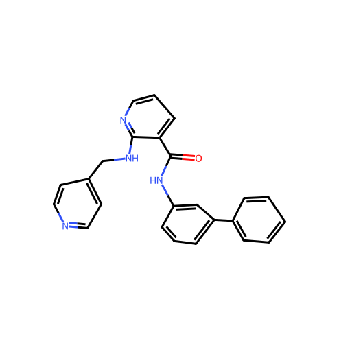 O=C(Nc1cccc(-c2ccccc2)c1)c1cccnc1NCc1ccncc1